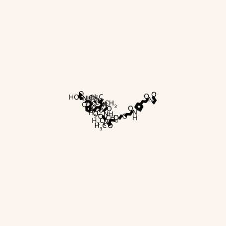 CCC(C)C(C(CC(=O)N1CCCC1C(OC)C(C)C(=O)NCC(=O)O)OC)N(C)C(=O)CNC(=O)C(C)(C)N(C)C(=O)CCOCCOCCC(=O)Nc1ccc(CCC(=O)N2CCC2=O)cc1